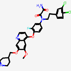 COc1cc2c(Oc3ccc(N(CCc4ccc(Cl)c(Cl)c4)C(=O)C(N)=O)cc3F)ccnc2cc1OCC1CCNCC1